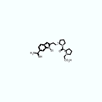 CCn1c(CC[C@@H]2CCCN2C(=O)[C@H]2CCCN2CC(=O)O)cc2ccc(C(=N)N)cc21